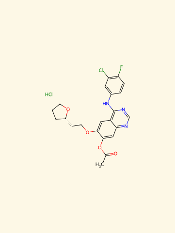 CC(=O)Oc1cc2ncnc(Nc3ccc(F)c(Cl)c3)c2cc1OCC[C@@H]1CCCO1.Cl